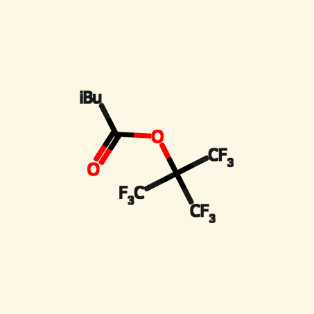 CCC(C)C(=O)OC(C(F)(F)F)(C(F)(F)F)C(F)(F)F